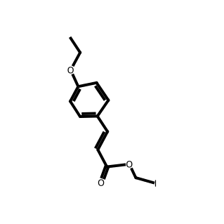 CCOc1ccc(/C=C/C(=O)OCI)cc1